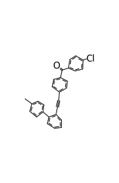 Cc1ccc(-c2ccccc2C#Cc2ccc(C(=O)c3ccc(Cl)cc3)cc2)cc1